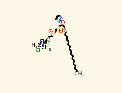 CCCCCCCCCCCCCCCCCCOCC(C[S+]([O-])CC[S+]([O-])CCOCC[N+](C)(C)C)Oc1ncccn1.[Cl-]